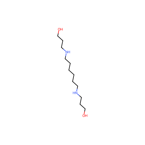 OCCCNCCCCCCNCCCO